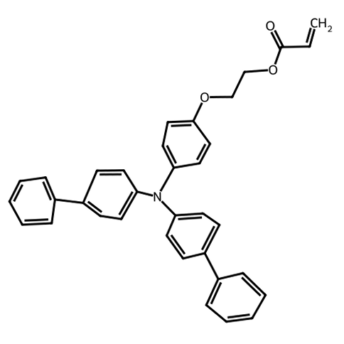 C=CC(=O)OCCOc1ccc(N(c2ccc(-c3ccccc3)cc2)c2ccc(-c3ccccc3)cc2)cc1